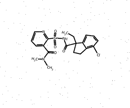 CCC1(C(=O)NS(=O)(=O)c2ncccc2C(=O)N(C)C)CCc2c(Cl)cccc21